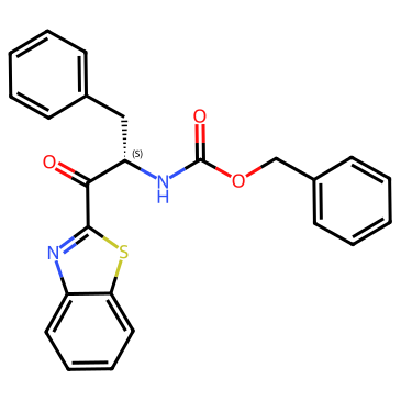 O=C(N[C@@H](Cc1ccccc1)C(=O)c1nc2ccccc2s1)OCc1ccccc1